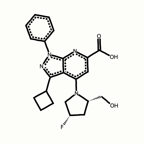 O=C(O)c1cc(N2C[C@@H](F)C[C@H]2CO)c2c(C3CCC3)nn(-c3ccccc3)c2n1